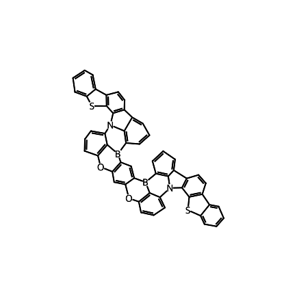 c1cc2c3c(c1)-n1c4c(cccc4c4ccc5c6ccccc6sc5c41)B3c1cc3c(cc1O2)Oc1cccc2c1B3c1cccc3c4ccc5c6ccccc6sc5c4n-2c13